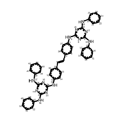 C(=Cc1ccc(Nc2nc(Nc3ccccc3)nc(Nc3ccccc3)n2)cc1)c1ccc(Nc2nc(Nc3ccccc3)nc(Nc3ccccc3)n2)cc1